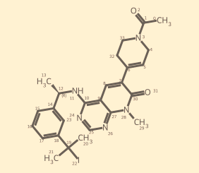 CC(=O)N1CC=C(c2cc3c(N[C@H](C)c4cccc(C(C)(C)I)c4)ncnc3n(C)c2=O)CC1